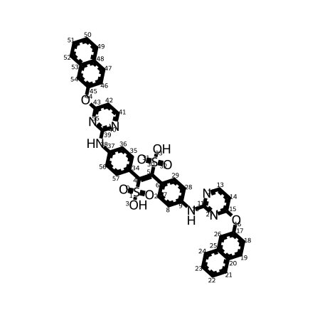 O=S(=O)(O)C(=C(c1ccc(Nc2nccc(Oc3ccc4ccccc4c3)n2)cc1)S(=O)(=O)O)c1ccc(Nc2nccc(Oc3ccc4ccccc4c3)n2)cc1